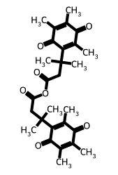 CC1=C(C)C(=O)C(C(C)(C)CC(=O)OC(=O)CC(C)(C)C2=C(C)C(=O)C(C)=C(C)C2=O)=C(C)C1=O